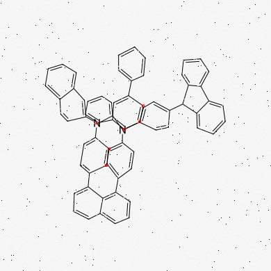 c1ccc(-c2cccc(N(c3ccc(-c4cccc5cccc(-c6ccc(N(c7ccccc7)c7ccc(C8c9ccccc9-c9ccccc98)cc7)cc6)c45)cc3)c3ccc4ccccc4c3)c2)cc1